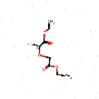 CCOC(=O)CO[C@@H](C)C(=O)OCC